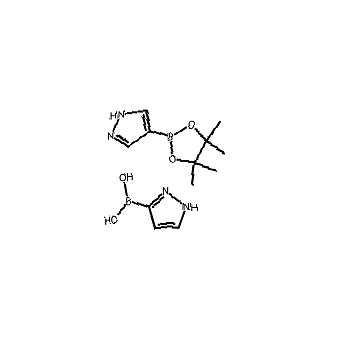 CC1(C)OB(c2cn[nH]c2)OC1(C)C.OB(O)c1cc[nH]n1